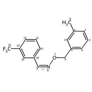 Cc1cccc(CO/N=[C]\c2cccc(C(F)(F)F)c2)c1